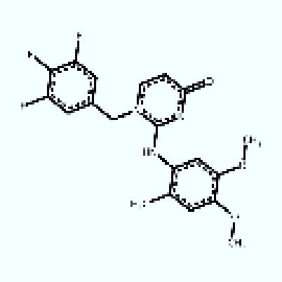 COc1cc(C)c(Nc2nc(=O)ccn2Cc2cc(F)c(F)c(F)c2)cc1OC